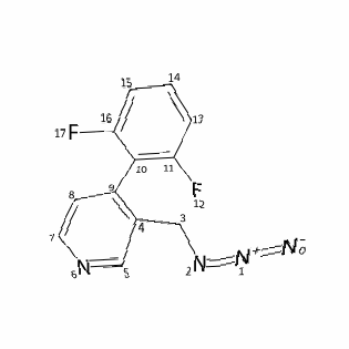 [N-]=[N+]=NCc1cnccc1-c1c(F)cccc1F